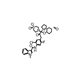 Cn1cc(C(=O)Nc2cc(F)c(CC(=O)C(O[C@H]3CC[C@H]([C]=O)CC3)(N3CCCC3)N3CCS(=O)(=O)CC3)cc2Cl)c2ccccc21